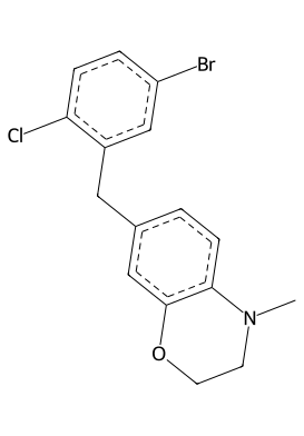 CN1CCOc2cc(Cc3cc(Br)ccc3Cl)ccc21